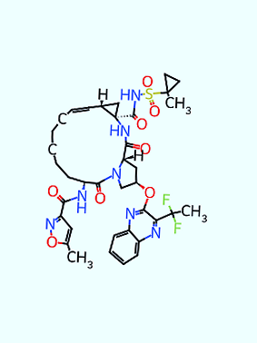 Cc1cc(C(=O)N[C@H]2CCCCC/C=C\[C@@H]3C[C@@]3(C(=O)NS(=O)(=O)C3(C)CC3)NC(=O)[C@@H]3C[C@@H](Oc4nc5ccccc5nc4C(C)(F)F)CN3C2=O)no1